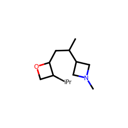 CC(C)C1COC1CC(C)C1CN(C)C1